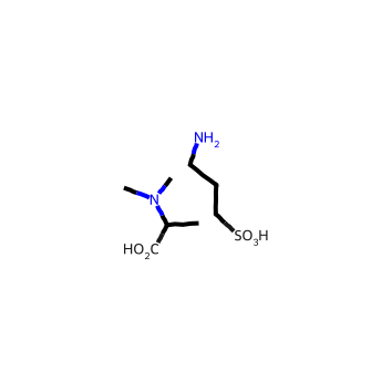 CC(C(=O)O)N(C)C.NCCCS(=O)(=O)O